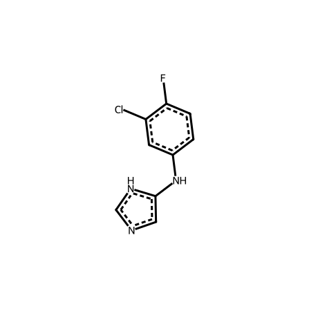 Fc1ccc(Nc2cnc[nH]2)cc1Cl